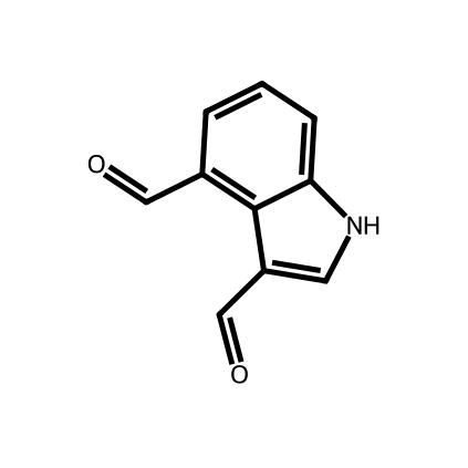 O=Cc1cccc2[nH]cc(C=O)c12